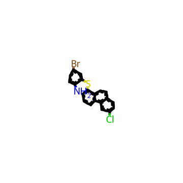 Nc1ccc(Br)cc1Sc1cccc2c1ccc1ccc(Cl)cc12